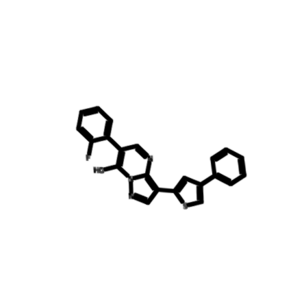 Oc1c(-c2ccccc2F)cnc2c(-c3cc(-c4ccccc4)cs3)cnn12